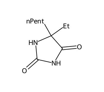 CCCCCC1(CC)NC(=O)NC1=O